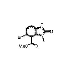 COC(=O)c1c(Br)ccc2[nH]c(=O)n(C)c12